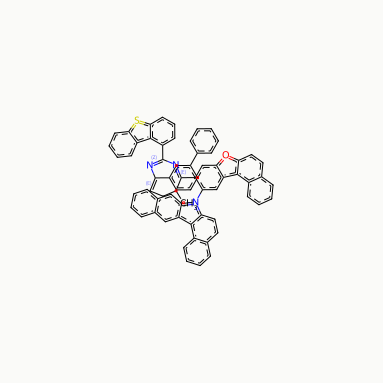 CC1C/C=C(c2cccc(-c3ccccc3)c2)/N=C(c2cccc3sc4ccccc4c23)\N=C/1c1cc2oc3ccc4ccccc4c3c2cc1-n1c2cc3ccccc3cc2c2c3ccccc3ccc21